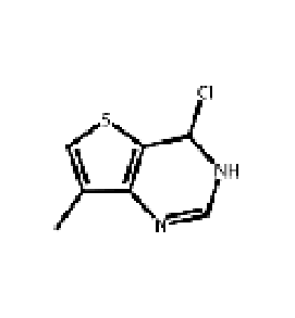 Cc1csc2c1N=CNC2Cl